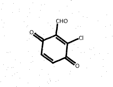 O=CC1=C(Cl)C(=O)C=CC1=O